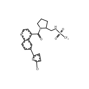 O=C(c1ccnc2ccc(-c3ccc(Cl)s3)cc12)N1CCCC1CNS(=O)(=O)C(F)(F)F